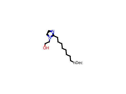 CCCCCCCCCCCCCCCCCCc1nccn1CCO